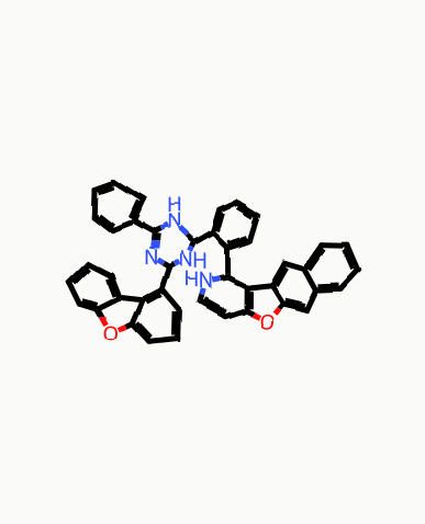 C1=Cc2oc3cc4ccccc4cc3c2C(c2ccccc2C2NC(c3ccccc3)=NC(c3cccc4oc5ccccc5c34)N2)N1